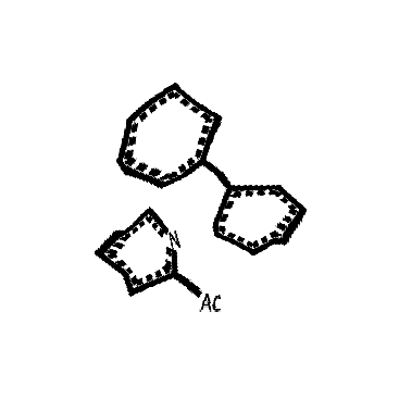 CC(=O)c1ccccn1.c1ccc(-c2ccccc2)cc1